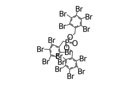 O=P(Cc1c(Br)c(Br)c(Br)c(Br)c1Br)(OCc1c(Br)c(Br)c(Br)c(Br)c1Br)OCc1c(Br)c(Br)c(Br)c(Br)c1Br